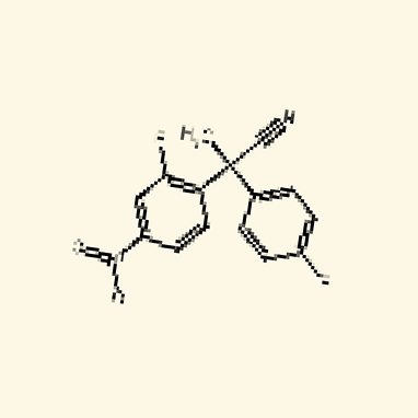 CC(C#N)(c1ccc(F)cc1)c1ccc([N+](=O)[O-])cc1F